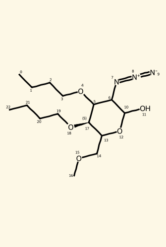 CCCCOC1C(N=[N+]=[N-])C(O)OC(COC)[C@H]1OCCCC